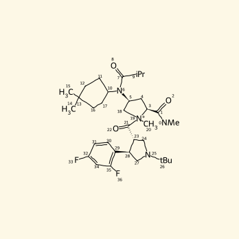 CNC(=O)[C@@H]1C[C@H](N(C(=O)C(C)C)C2CCC(C)(C)CC2)C[N+]1(C)C(=O)[C@@H]1CN(C(C)(C)C)C[C@H]1c1ccc(F)cc1F